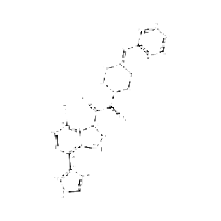 O=C(C(=O)N1CCC(=Cc2ccccc2)CC1)C1CNc2c(-c3ncon3)ccc(F)c21